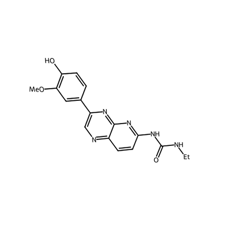 CCNC(=O)Nc1ccc2ncc(-c3ccc(O)c(OC)c3)nc2n1